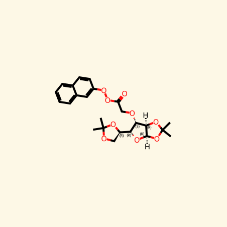 CC1(C)O[C@H]2O[C@H]([C@H]3COC(C)(C)O3)[C@H](OCC(=O)OOc3ccc4ccccc4c3)[C@H]2O1